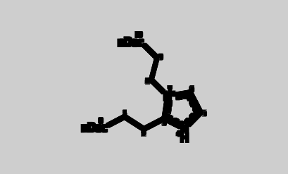 CCCCCCCCCCCCc1[nH]cc[n+]1CCCCCCCCCCCC